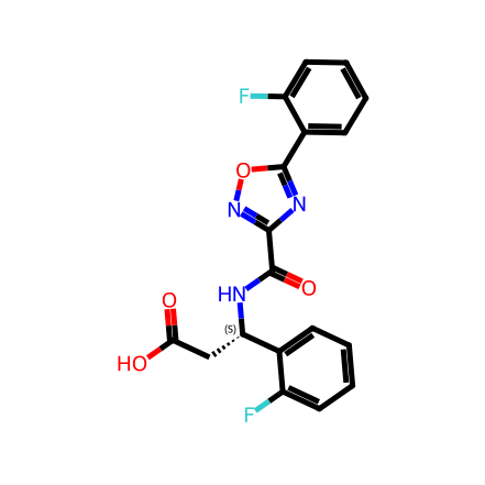 O=C(O)C[C@H](NC(=O)c1noc(-c2ccccc2F)n1)c1ccccc1F